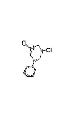 ClN1CN(Cl)CN(c2ccccc2)C1